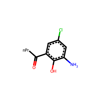 CCCC(=O)c1cc(Cl)cc(N)c1O